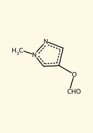 Cn1cc(OC=O)cn1